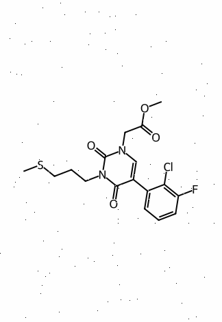 COC(=O)Cn1cc(-c2cccc(F)c2Cl)c(=O)n(CCCSC)c1=O